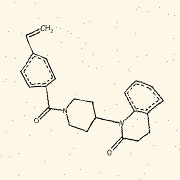 C=Cc1ccc(C(=O)N2CCC(N3C(=O)CCc4ccccc43)CC2)cc1